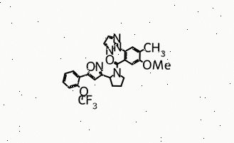 COc1cc(C(=O)N2CCCC2c2cc(-c3ccccc3OC(F)(F)F)on2)c(-n2nccn2)cc1C